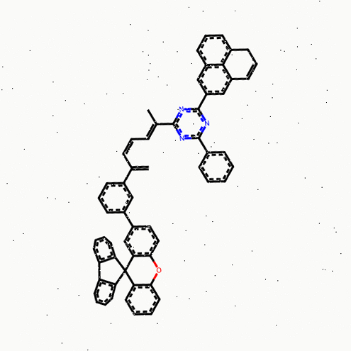 C=C(/C=C\C=C(/C)c1nc(-c2ccccc2)nc(-c2cc3c4c(cccc4c2)CC=C3)n1)c1cccc(-c2ccc3c(c2)C2(c4ccccc4O3)c3ccccc3-c3ccccc32)c1